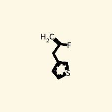 C=C(F)Cc1ccsc1